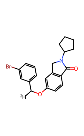 [2H]C(Oc1ccc2c(c1)CN(C1CCCC1)C2=O)c1cccc(Br)c1